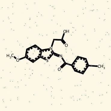 COc1ccc2c(c1)sc(=NC(=O)c1ccc(C)cc1)n2CC(=O)O